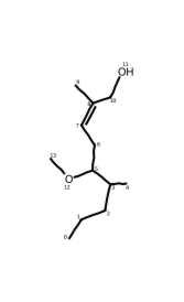 CCCC(C)C(CC=C(C)CO)OC